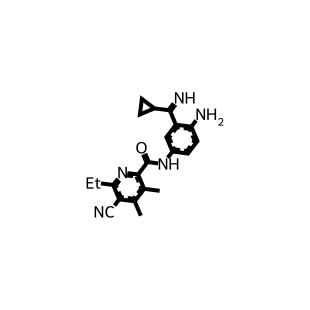 CCc1nc(C(=O)Nc2ccc(N)c(C(=N)C3CC3)c2)c(C)c(C)c1C#N